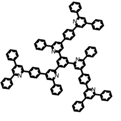 c1ccc(-c2cc(-c3ccccc3)nc(-c3ccc(-c4cc(-c5ccccc5)nc(-c5cc(-c6cc(-c7ccc(-c8cc(-c9ccccc9)cc(-c9ccccc9)n8)cc7)cc(-c7ccccc7)n6)cc(-c6cc(-c7ccc(-c8cc(-c9ccccc9)cc(-c9ccccc9)n8)cc7)cc(-c7ccccc7)n6)c5)c4)cc3)c2)cc1